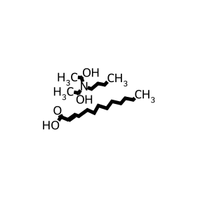 CCCCCCCCCCC=CC(=O)O.CCCCN(C(C)O)C(C)O